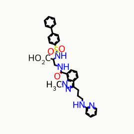 Cn1nc(CCCNc2ccccn2)c2cccc(C(=O)NCC(NS(=O)(=O)c3ccc(-c4ccccc4)cc3)C(=O)O)c21